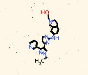 CCn1cc(C2=NC(Nc3ccc4c(c3)CN(CCO)CC4)=NCC2)c(-c2cccnc2)n1